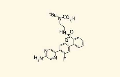 CC(C)(C)N(CCNS(=O)(=O)c1ccccc1-c1ccc(-c2cnc(N)cn2)c(F)c1)C(=O)O